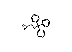 c1ccc(C(OC[C@H]2CO2)(c2ccccc2)c2ccccc2)cc1